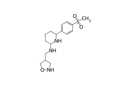 CS(=O)(=O)c1ccc(C2CCCC(NCC3CNOC3)N2)cc1